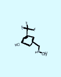 Cl.ONCc1cccc(C(F)(F)F)c1